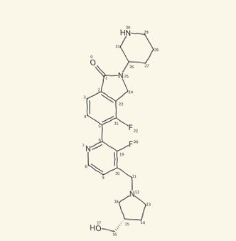 O=C1c2ccc(-c3nccc(CN4CC[C@H](CO)C4)c3F)c(F)c2CN1C1CCCNC1